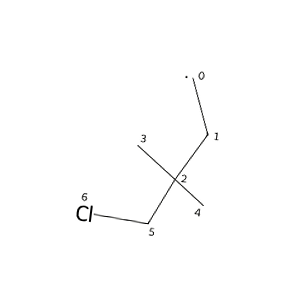 [CH2]CC(C)(C)CCl